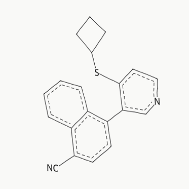 N#Cc1ccc(-c2cnccc2SC2CCC2)c2ccccc12